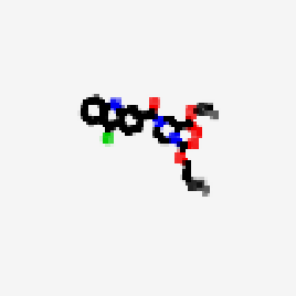 CCCOC(=O)N1CCN(C(=O)c2ccc3c(Cl)c4c(nc3c2)CCCC4)CC1C(=O)OC